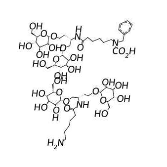 NCCCCCC(=O)N[C@@H](CCO[C@H]1O[C@H](CO)[C@@H](O)[C@H](O)[C@@H]1O)CO[C@H]1O[C@H](CO)[C@@H](O)[C@H](O)[C@@H]1O.O=C(CCCCCN(Cc1ccccc1)C(=O)O)N[C@@H](CCO[C@H]1O[C@H](CO)[C@@H](O)[C@H](O)[C@@H]1O)CO[C@H]1O[C@H](CO)[C@@H](O)[C@H](O)[C@@H]1O